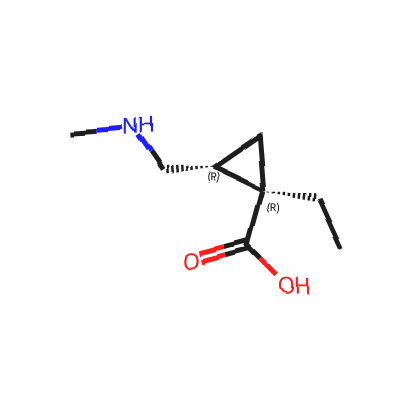 CC[C@@]1(C(=O)O)C[C@H]1CNC